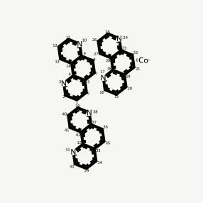 [Co].c1cnc2c(c1)ccc1ncccc12.c1cnc2c(c1)ccc1ncccc12.c1cnc2c(c1)ccc1ncccc12